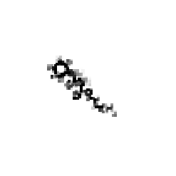 CCCCOC(=O)NC(=O)Nc1ccccc1